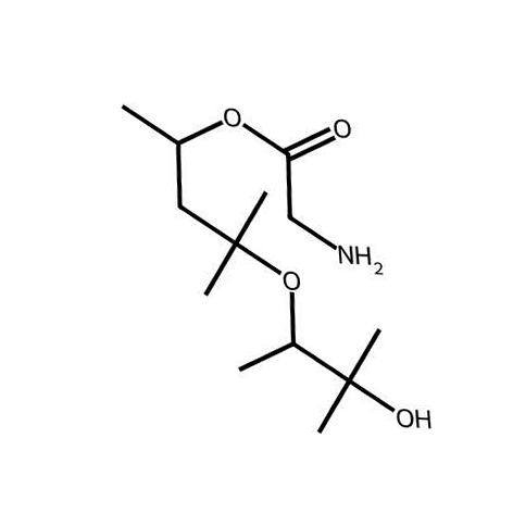 CC(CC(C)(C)OC(C)C(C)(C)O)OC(=O)CN